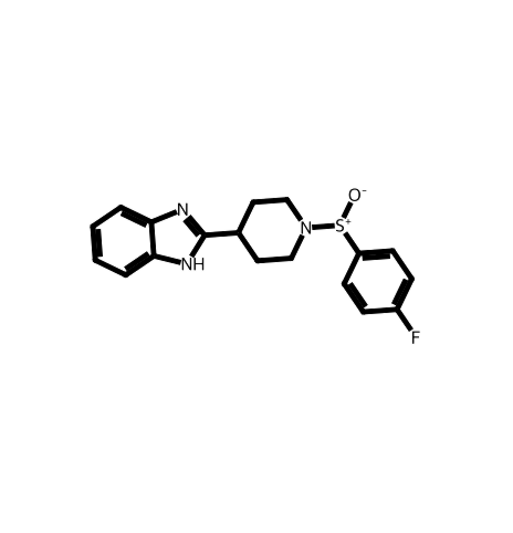 [O-][S+](c1ccc(F)cc1)N1CCC(c2nc3ccccc3[nH]2)CC1